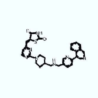 O=C1NC(=O)C(=Cc2ccnc(N3CCC(CNCc4ccc(-c5cncc6ccccc56)nc4)CC3)n2)S1